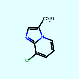 CCOC(=O)c1cnc2c(Cl)cccn12